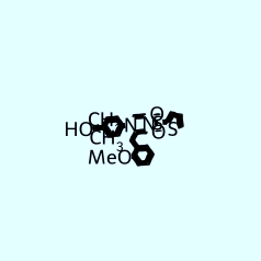 COc1ccccc1CC1CN(S(=O)(=O)c2cccs2)CCN1c1ccc(C(C)(C)O)cc1